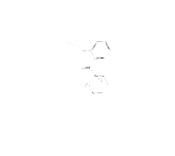 COc1ccccc1C(=O)N1CC2CCC1CN2